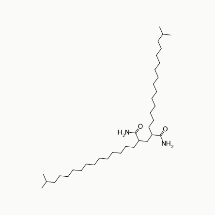 CC(C)CCCCCCCCCCCCCC(CC(CCCCCCCCCCCCCC(C)C)C(N)=O)C(N)=O